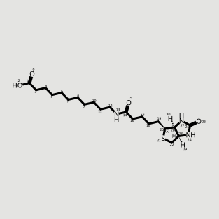 O=C(O)CCCCCCCCCCNC(=O)CCCC[C@@H]1SC[C@@H]2NC(=O)N[C@@H]21